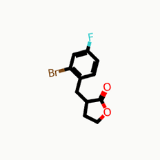 O=C1OCCC1Cc1ccc(F)cc1Br